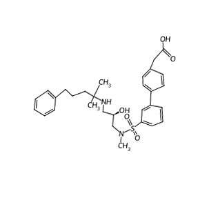 CN(C[C@H](O)CNC(C)(C)CCCc1ccccc1)S(=O)(=O)c1cccc(-c2ccc(CC(=O)O)cc2)c1